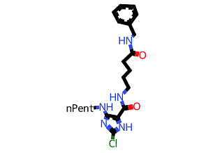 CCCCCNc1nc(Cl)[nH]c1C(=O)NCCCCC(=O)NCc1ccccc1